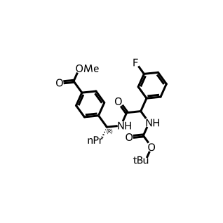 CCC[C@@H](NC(=O)C(NC(=O)OC(C)(C)C)c1cccc(F)c1)c1ccc(C(=O)OC)cc1